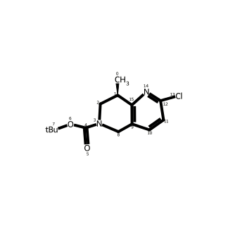 C[C@@H]1CN(C(=O)OC(C)(C)C)Cc2ccc(Cl)nc21